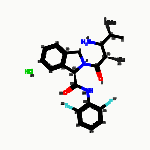 CN[C@@H](C)C(N)[C@@H](C(=O)N1Cc2ccccc2[C@H]1C(=O)Nc1c(F)cccc1F)C(C)(C)C.Cl